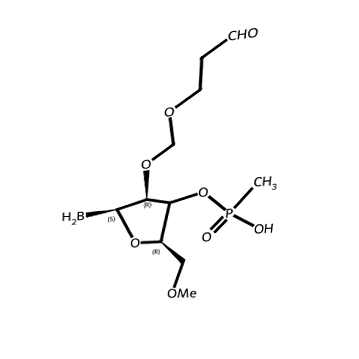 B[C@@H]1O[C@H](COC)C(OP(C)(=O)O)[C@@H]1OCOCCC=O